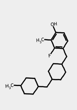 Cc1c(O)ccc(CC2CCC(CC3CCC(C)CC3)CC2)c1F